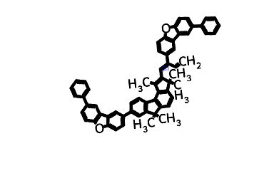 C=C/C(=C\C1=C(C)c2c(ccc3c2-c2ccc(-c4ccc5oc6ccc(-c7ccccc7)cc6c5c4)cc2C3(C)C)C1(C)C)c1ccc2oc3ccc(-c4ccccc4)cc3c2c1